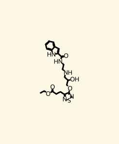 CCOC(=O)CCc1nsnc1OCC(O)CNCCNC(=O)c1cc2ccccc2[nH]1